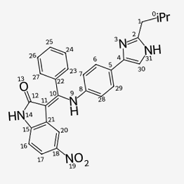 CC(C)Cc1nc(-c2ccc(NC(=C3C(=O)Nc4ccc([N+](=O)[O-])cc43)c3ccccc3)cc2)c[nH]1